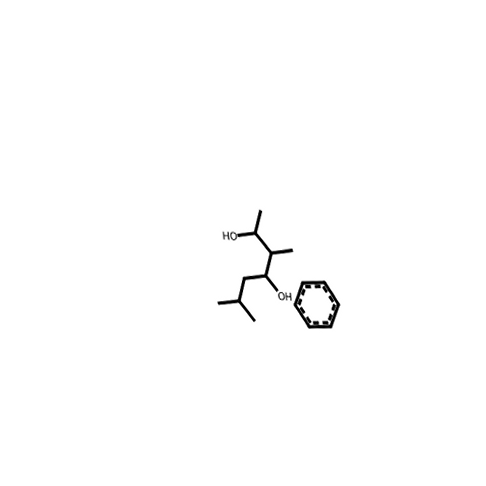 CC(C)CC(O)C(C)C(C)O.c1ccccc1